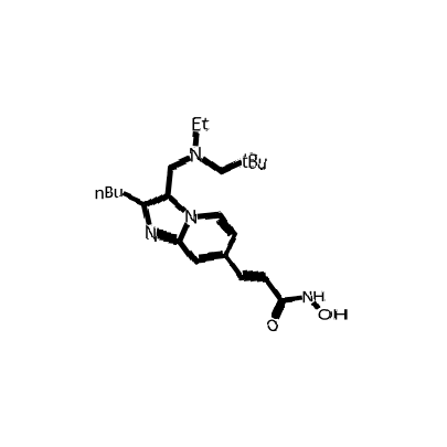 CCCCC1N=C2C=C(/C=C/C(=O)NO)C=CN2C1CN(CC)CC(C)(C)C